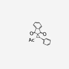 CC(=O)[C@H]1[C@H](c2ccccc2)C12C(=O)c1ccccc1C2=O